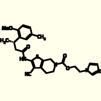 COc1ccc(C)cc1[C@@H](C)CC(=O)Nc1sc2c(c1C#N)CCN(C(=O)OCCn1ccnc1)C2